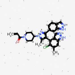 C=CC(=O)N1CCC(n2nc(-c3ccc4cn[nH]c4c3)c(-c3c(Cl)c(C)cc4[nH]ncc34)c2C)CC1